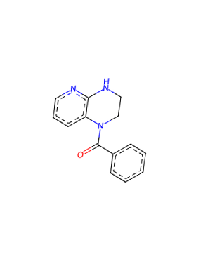 O=C(c1ccccc1)N1CCNc2ncccc21